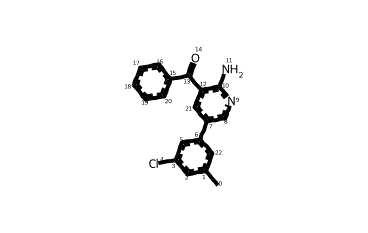 Cc1cc(Cl)cc(-c2cnc(N)c(C(=O)c3ccccc3)c2)c1